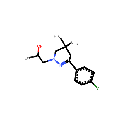 CCC(O)CN1CC(C)(C)CC(c2ccc(Cl)cc2)=N1